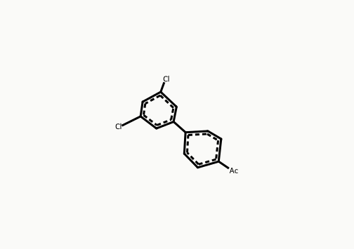 CC(=O)c1ccc(-c2cc(Cl)cc(Cl)c2)cc1